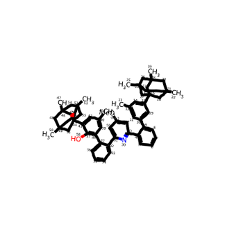 COc1cc(-c2ccccc2-c2cc(C)cc(C34CC5(C)CC(C)(CC(C)(C5)C3)C4)c2)nc(-c2ccccc2-c2cc(C)cc(C34CC5(C)CC(C)(CC(C)(C5)C3)C4)c2O)c1